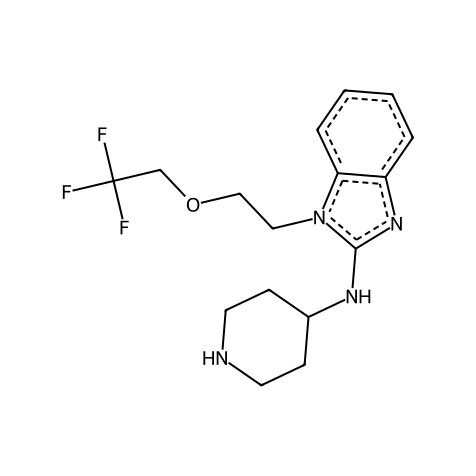 FC(F)(F)COCCn1c(NC2CCNCC2)nc2ccccc21